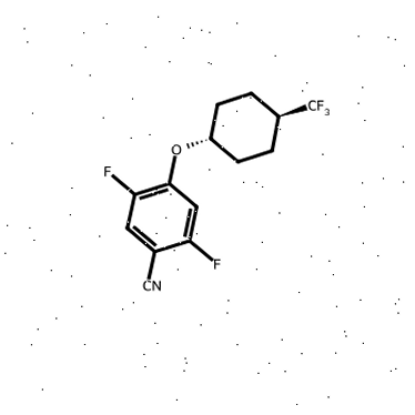 N#Cc1cc(F)c(O[C@H]2CC[C@H](C(F)(F)F)CC2)cc1F